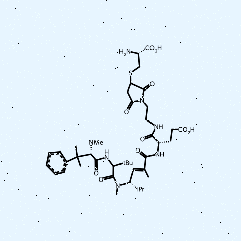 CN[C@H](C(=O)NC(C(=O)N(C)[C@H](/C=C(\C)C(=O)N[C@@H](CCC(=O)O)C(=O)NCCN1C(=O)CC(SC[C@H](N)C(=O)O)C1=O)C(C)C)C(C)(C)C)C(C)(C)c1ccccc1